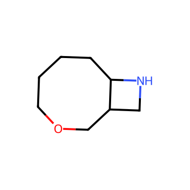 C1CCC2NCC2COC1